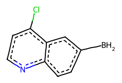 Bc1ccc2nccc(Cl)c2c1